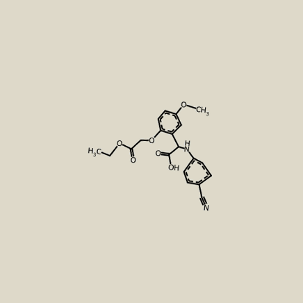 CCOC(=O)COc1ccc(OC)cc1C(Nc1ccc(C#N)cc1)C(=O)O